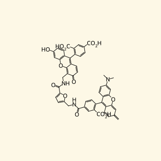 C=c1ccc2c(c1)Oc1cc(N(C)C)ccc1C=2c1ccc(C(=O)NCc2ccc(C(=O)NCc3c4oc5cc(O)ccc5c(-c5ccc(C(=O)O)cc5C(=O)O)c-4ccc3=O)o2)cc1C(=O)O